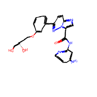 Nc1ccnc(NC(=O)c2cnc3ccc(-c4cccc(OC[C@H](O)CO)c4)nn23)c1